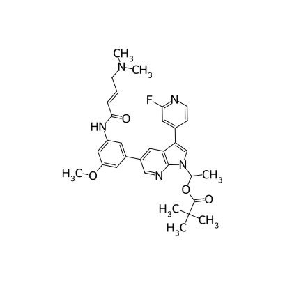 COc1cc(NC(=O)C=CCN(C)C)cc(-c2cnc3c(c2)c(-c2ccnc(F)c2)cn3C(C)OC(=O)C(C)(C)C)c1